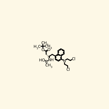 CB(O)N[C@H](CC(=O)OC(C)(C)C)Cc1ccc(N(CCCl)CCCl)c2ccccc12